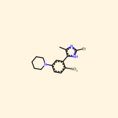 CCc1nc(C)c(-c2cc(N3CCCCC3)ccc2[N+](=O)[O-])[nH]1